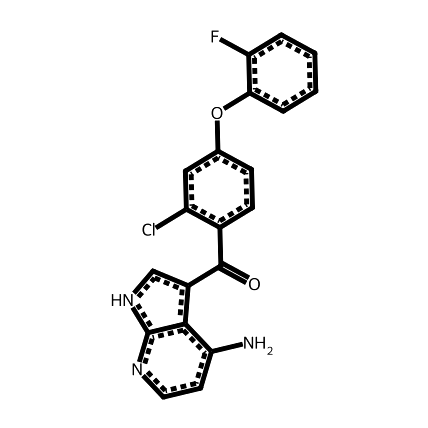 Nc1ccnc2[nH]cc(C(=O)c3ccc(Oc4ccccc4F)cc3Cl)c12